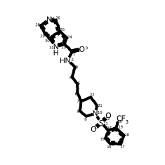 O=C(NCCCCC1CCN(S(=O)(=O)c2ccccc2C(F)(F)F)CC1)c1cc2cnccc2[nH]1